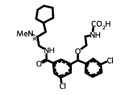 CN[C@@H](CNC(=O)c1cc(Cl)cc(C(OCCNC(=O)O)c2cccc(Cl)c2)c1)CC1CCCCC1